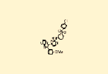 COc1cccc(-c2nc3occn3c2-c2ccnc(N[C@@H]3CCCN(S(=O)(=O)c4ccc(Cl)cc4)C3)n2)c1